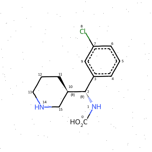 O=C(O)N[C@@H](c1cccc(Cl)c1)[C@@H]1CCCNC1